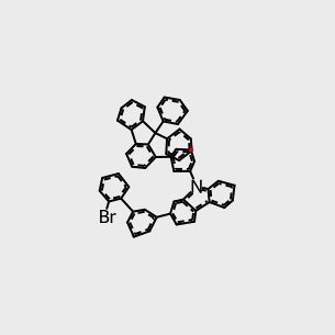 Brc1ccccc1-c1cccc(-c2ccc3c4ccccc4n(-c4cccc(-c5cccc6c5C(c5ccccc5)(c5ccccc5)c5ccccc5-6)c4)c3c2)c1